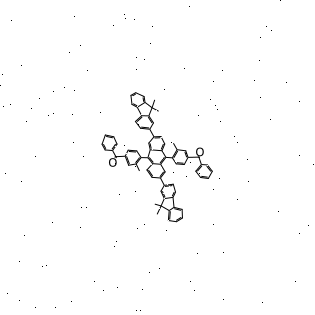 Cc1cc(C(=O)c2ccccc2)ccc1-c1c2ccc(-c3ccc4c(c3)C(C)(C)c3ccccc3-4)cc2c(-c2ccc(C(=O)c3ccccc3)cc2C)c2ccc(-c3ccc4c(c3)C(C)(C)c3ccccc3-4)cc12